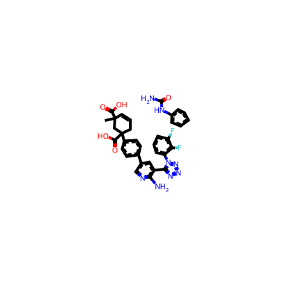 CC1(C(=O)O)C=CCC(C(=O)O)(c2ccc(-c3cnc(N)c(-c4nnnn4-c4cccc(F)c4F)c3)cc2)C1.NC(=O)Nc1ccccc1